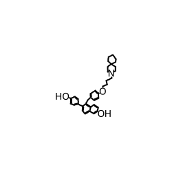 Oc1ccc(-c2ccc3cc(O)ccc3c2Cc2ccc(OCCCCN3CCC4(CCCCC4)CC3)cc2)cc1